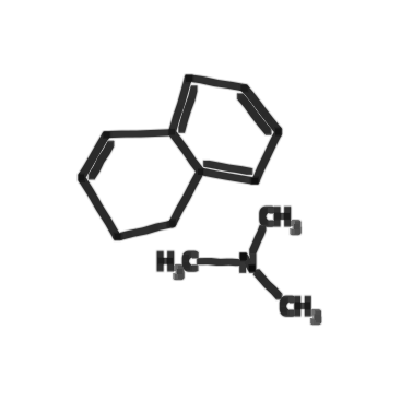 C1=Cc2ccccc2CC1.CN(C)C